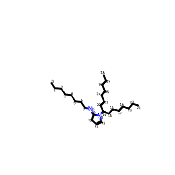 CCCCCCCC/N=C1\CC=CN1C(CCCCCCC)CCCCCCC